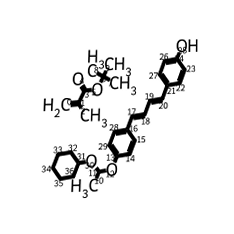 C=C(C)C(=O)OC(C)(C)C.CC(Oc1ccc(C=CC=Cc2ccc(O)cc2)cc1)OC1CCCCC1